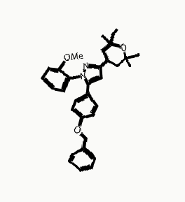 COc1ccccc1-n1nc(C2CC(C)(C)OC(C)(C)C2)cc1-c1ccc(OCc2ccccc2)cc1